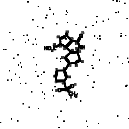 CS(=O)(=O)c1cccc(-c2ccc3[nH]c(=O)c4c(c3c2)C(C(=O)O)C=N4)c1